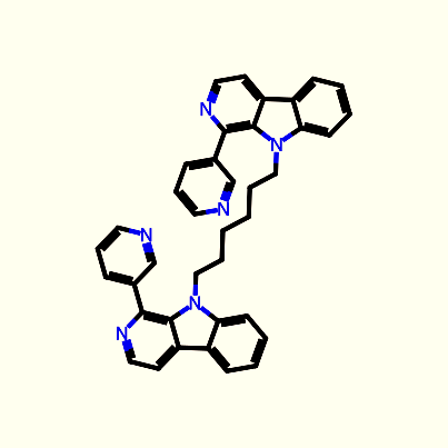 c1cncc(-c2nccc3c4ccccc4n(CCCCCCn4c5ccccc5c5ccnc(-c6cccnc6)c54)c23)c1